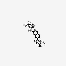 CC1(NS(=O)(=O)c2ccc3cnc(NC(=O)OC(C)(C)C)cc3c2)CC1